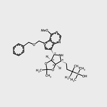 COc1ncnc2c([C@@H]3N[C@H](CCC(C)(C)[Si](C)(C)O)[C@H]4OC(C)(C)O[C@H]43)cn(COCc3ccccc3)c12